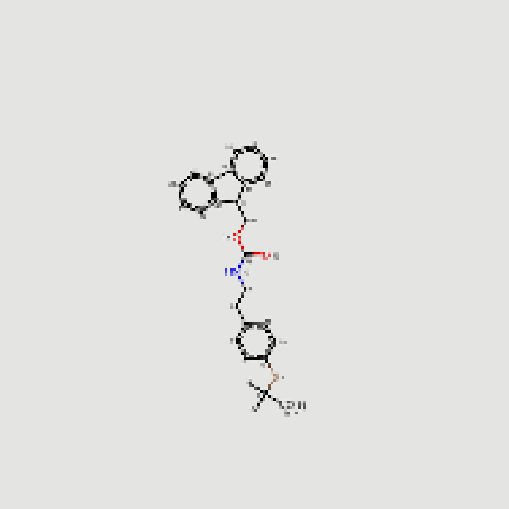 CC(C)(Sc1ccc(CCNC(=O)OCC2c3ccccc3-c3ccccc32)cc1)C(=O)O